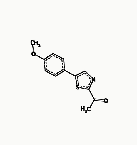 COc1ccc(-c2cnc(C(C)=O)s2)cc1